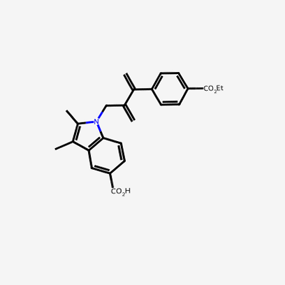 C=C(Cn1c(C)c(C)c2cc(C(=O)O)ccc21)C(=C)c1ccc(C(=O)OCC)cc1